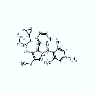 CCc1nc2n(-c3c(C)cc(C)cc3C)c3ncccc3n2c1CN(CC)CC1CC1